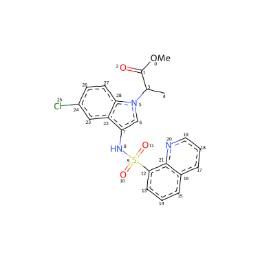 COC(=O)C(C)n1cc(NS(=O)(=O)c2cccc3cccnc23)c2cc(Cl)ccc21